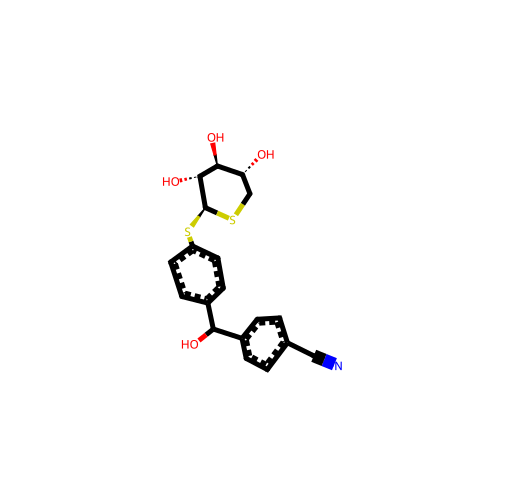 N#Cc1ccc(C(O)c2ccc(S[C@@H]3SC[C@@H](O)[C@H](O)[C@H]3O)cc2)cc1